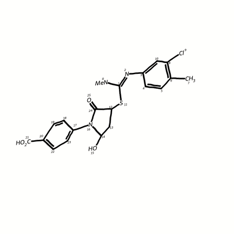 CN/C(=N/c1ccc(C)c(Cl)c1)SC1CC(O)N(c2ccc(C(=O)O)cc2)C1=O